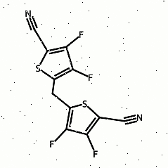 N#Cc1sc(Cc2sc(C#N)c(F)c2F)c(F)c1F